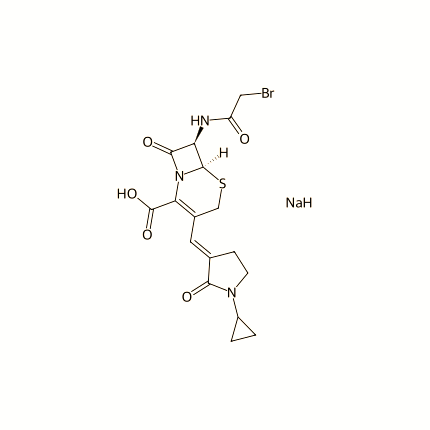 O=C(CBr)N[C@@H]1C(=O)N2C(C(=O)O)=C(/C=C3\CCN(C4CC4)C3=O)CS[C@H]12.[NaH]